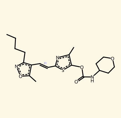 CCCCc1noc(C)c1/C=C/c1nc(C)c(OC(=O)NC2CCOCC2)s1